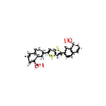 OC1CC=Cc2ccc(-c3cc4sc(-c5ccc6c(c5)C(O)CC=C6)cc4s3)cc21